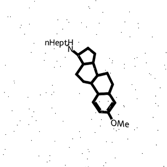 CCCCCCCNC1CCC2C1CCC1C3C=CC(OC)=CC3CCC12